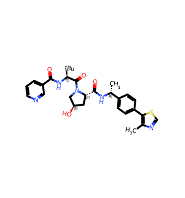 Cc1ncsc1-c1ccc([C@@H](C)NC(=O)[C@@H]2C[C@@H](O)CN2C(=O)[C@@H](NC(=O)c2cccnc2)C(C)(C)C)cc1